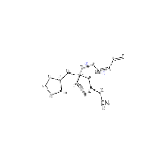 C=C/C=N\C=C/C(C=C)(CCCC#N)CC1CCCC1